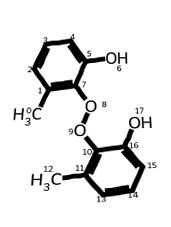 Cc1cccc(O)c1OOc1c(C)cccc1O